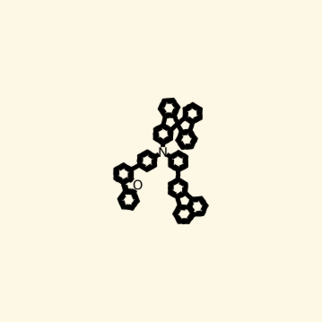 c1cc(-c2ccc3c(c2)-c2cccc4cccc-3c24)cc(N(c2ccc(-c3cccc4c3oc3ccccc34)cc2)c2ccc3c(c2)C2(c4ccccc4-c4ccccc42)c2ccccc2-3)c1